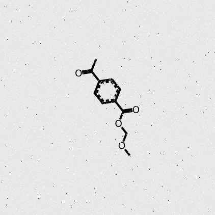 COCOC(=O)c1ccc(C(C)=O)cc1